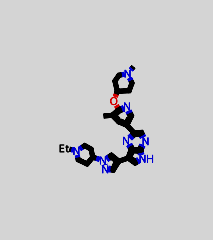 CCN1CCC(n2cc(-c3c[nH]c4ncc(-c5cnc(OC6CCN(C)CC6)c(C)c5)nc34)cn2)CC1